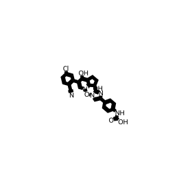 N#Cc1ccc(Cl)cc1-c1c[n+]2c3c(c1O)CCC3(O)c1nc(-c3ccc(NC(=O)O)cc3)cn1O2